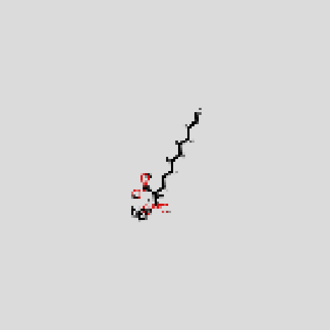 CCCCCCCCCCC(C(=O)[O-])C(=O)[O-].[Li+].[Na+]